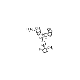 Cc1cccc(F)c1N1CCC(N2Cc3cn(C(C)CN)nc3N(Cc3ccccc3C(F)(F)F)C2=O)CC1